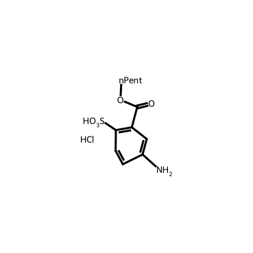 CCCCCOC(=O)c1cc(N)ccc1S(=O)(=O)O.Cl